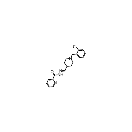 O=C(NN=CC1CCN(Cc2ccccc2Cl)CC1)c1ccccn1